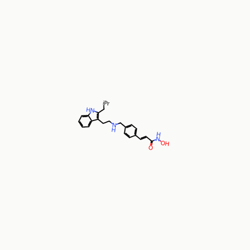 CC(C)Cc1[nH]c2ccccc2c1CCNCc1ccc(/C=C/C(=O)NO)cc1